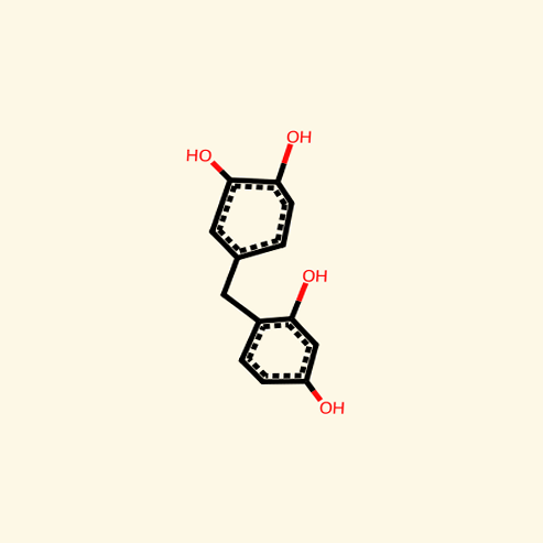 Oc1ccc(Cc2ccc(O)c(O)c2)c(O)c1